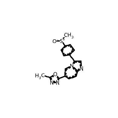 Cc1nnc(-c2ccc3ncc(-c4ccc([S+](C)[O-])cc4)n3c2)o1